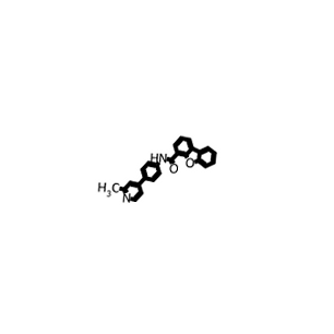 Cc1cc(-c2ccc(NC(=O)c3cccc4c3oc3ccccc34)cc2)ccn1